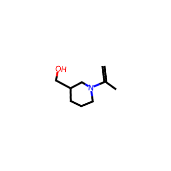 C=C(C)N1CCCC(CO)C1